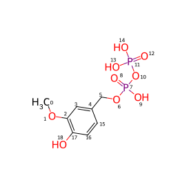 COc1cc(COP(=O)(O)OP(=O)(O)O)ccc1O